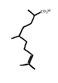 CC(C)=CCCC(C)CCC(C)C(=O)O